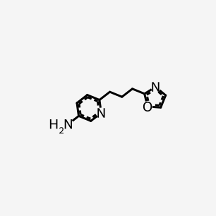 Nc1ccc(CCCc2ncco2)nc1